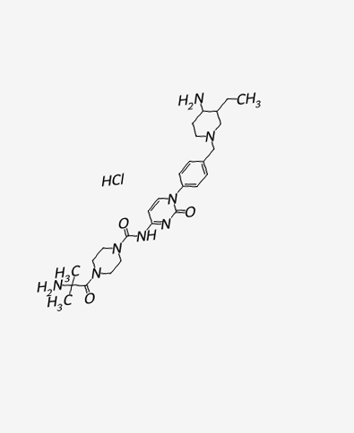 CCC1CN(Cc2ccc(-n3ccc(NC(=O)N4CCN(C(=O)C(C)(C)N)CC4)nc3=O)cc2)CCC1N.Cl